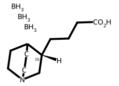 B.B.B.O=C(O)CCC[C@@H]1CN2CCC1CC2